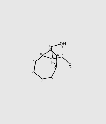 OC[PH]1(CO)C2CCCCC1CC2